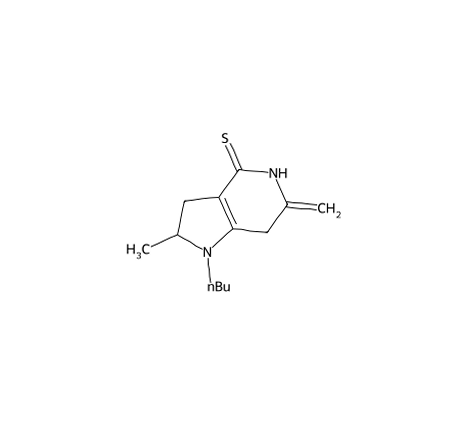 C=C1CC2=C(CC(C)N2CCCC)C(=S)N1